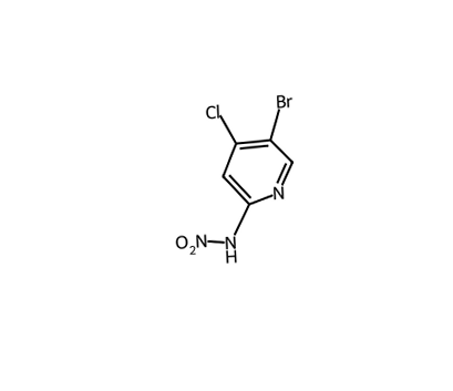 O=[N+]([O-])Nc1cc(Cl)c(Br)cn1